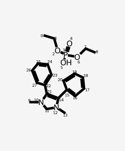 CCOP(=O)(O)OCC.CN1CN(C)C(c2ccccc2)=C1c1ccccc1